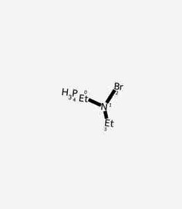 CCN(Br)CC.P